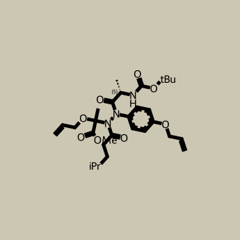 C=CCOc1ccc(N(C(=O)[C@H](C)NC(=O)OC(C)(C)C)N(C(=O)CCC(C)C)C(C)(OCC=C)C(=O)OC)cc1